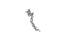 Nc1ccc(N2CCN(C3CCC4(CCN(c5ccc6c(c5)C(=O)N(C5CCC(=O)NC5=O)C6=O)CC4)C3)CC2)cc1